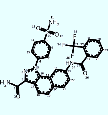 NC(=O)c1nn(-c2ccc(S(N)(=O)=O)cc2)c2c1ccc1ccc(NC(=O)c3ccccc3C(F)(F)F)cc12